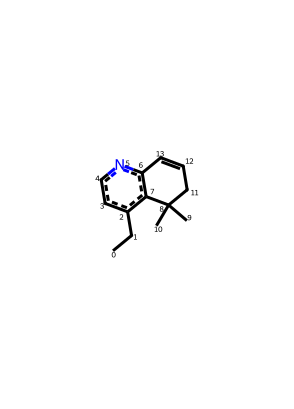 CCc1ccnc2c1C(C)(C)CC=C2